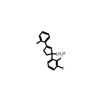 Cc1ccccc1C1=CC(C(=O)O)(c2cccc(F)c2C)CC1